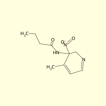 CCCC(=O)NC1([N+](=O)[O-])CN=CC=C1C